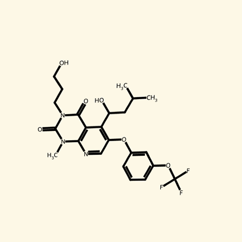 CC(C)CC(O)c1c(Oc2cccc(OC(F)(F)F)c2)cnc2c1c(=O)n(CCCO)c(=O)n2C